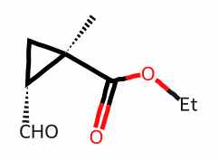 CCOC(=O)[C@]1(C)C[C@H]1C=O